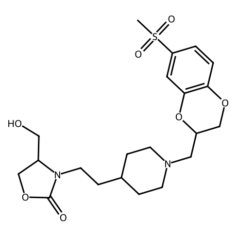 CS(=O)(=O)c1ccc2c(c1)OC(CN1CCC(CCN3C(=O)OCC3CO)CC1)CO2